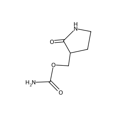 NC(=O)OCC1CCNC1=O